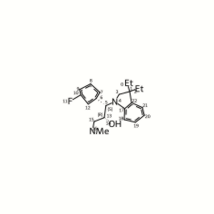 CCC1(CC)CN([C@@H](c2cccc(F)c2)[C@H](O)CNC)c2ccccc21